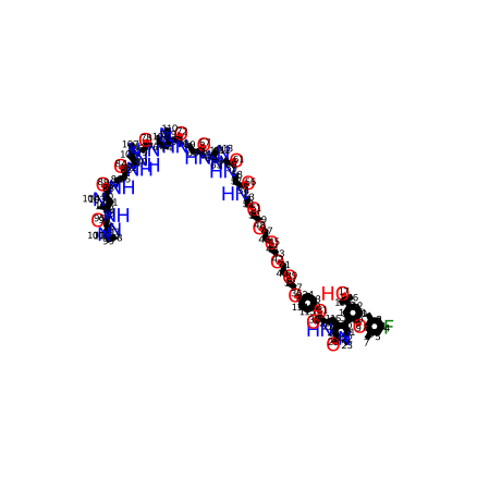 Cc1cc(F)cc(C)c1Oc1ccc(C(C)(C)O)cc1-c1cn(C)c(=O)c2[nH]c(C(=O)Oc3ccc(OCCOCCOCCOCCOCCOCCNC(=O)CCNC(=O)c4nc(NC(=O)CCNC(=O)c5cc(NC(=O)c6nc(NC(=O)CCNC(=O)c7cc(NC(=O)c8nccn8C)cn7C)cn6C)cn5C)cn4C)cc3)cc12